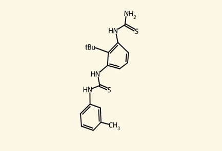 Cc1cccc(NC(=S)Nc2cccc(NC(N)=S)c2C(C)(C)C)c1